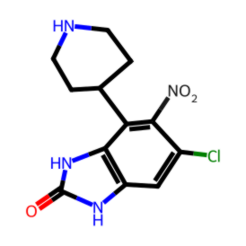 O=c1[nH]c2cc(Cl)c([N+](=O)[O-])c(C3CCNCC3)c2[nH]1